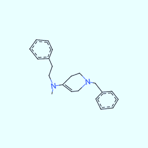 CN(CCc1ccccc1)C1=CCN(Cc2ccccc2)CC1